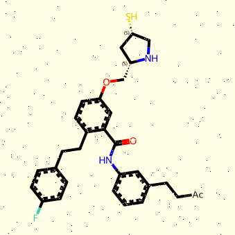 CC(=O)CCc1cccc(NC(=O)c2cc(OC[C@@H]3C[C@H](S)CN3)ccc2CCc2ccc(F)cc2)c1